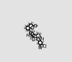 NC(=O)C1(Cc2ccc(Cl)c(Br)c2)NC=CC=C1c1cn(-c2cccc3ccc(=O)oc23)nn1